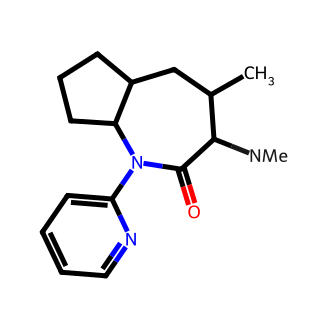 CNC1C(=O)N(c2ccccn2)C2CCCC2CC1C